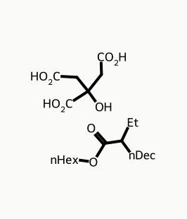 CCCCCCCCCCC(CC)C(=O)OCCCCCC.O=C(O)CC(O)(CC(=O)O)C(=O)O